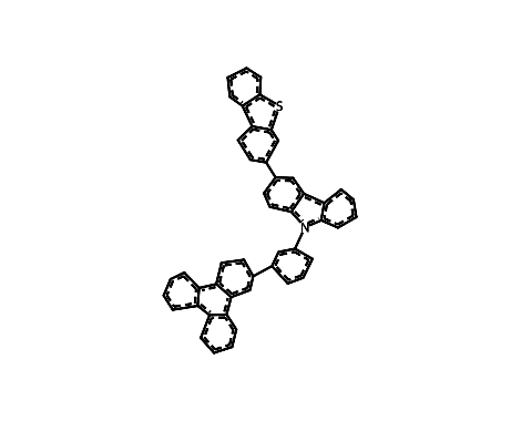 c1cc(-c2ccc3c4ccccc4c4ccccc4c3c2)cc(-n2c3ccccc3c3cc(-c4ccc5c(c4)sc4ccccc45)ccc32)c1